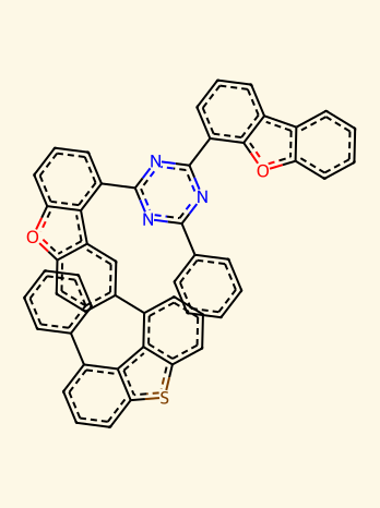 c1ccc(-c2nc(-c3cccc4c3oc3ccccc34)nc(-c3cccc4oc5ccc(-c6cccc7sc8cccc(-c9ccccc9)c8c67)cc5c34)n2)cc1